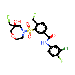 O=C(Nc1ccc(F)c(Cl)c1)c1ccc(CF)c(S(=O)(=O)N2CCOCC(O)(CF)C2)c1